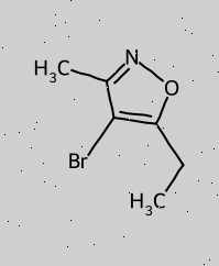 CCc1onc(C)c1Br